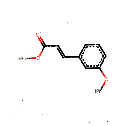 CCCCOC(=O)C=Cc1cccc(OC(C)C)c1